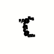 COc1ccc(Cn2cc(Cc3ccc(N=C=S)cc3C(F)(F)F)cn2)cc1